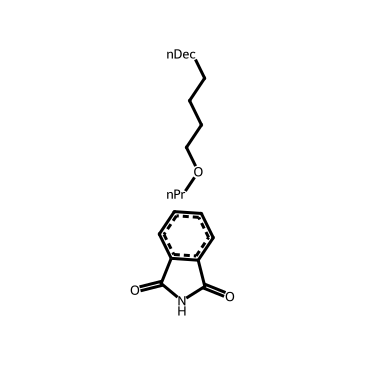 CCCCCCCCCCCCCCOCCC.O=C1NC(=O)c2ccccc21